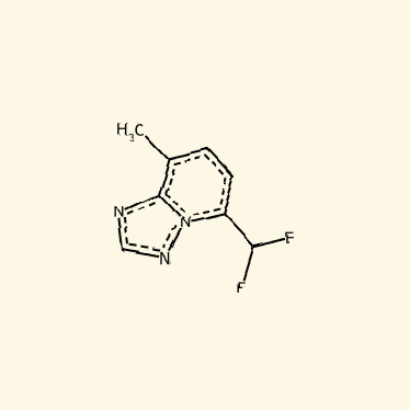 Cc1ccc(C(F)F)n2ncnc12